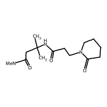 CNC(=O)CC(C)(C)NC(=O)CCN1CCCCC1=O